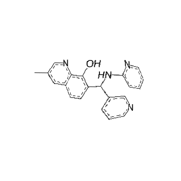 Cc1cnc2c(O)c(C(Nc3ccccn3)c3cccnc3)ccc2c1